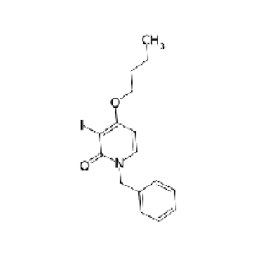 CCCCOc1ccn(Cc2ccccc2)c(=O)c1I